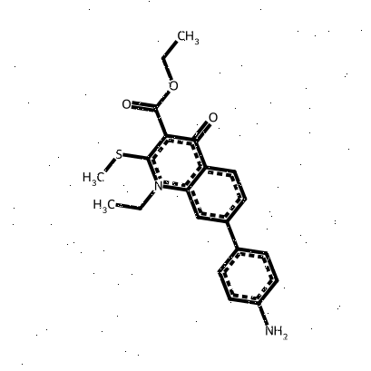 CCOC(=O)c1c(SC)n(CC)c2cc(-c3ccc(N)cc3)ccc2c1=O